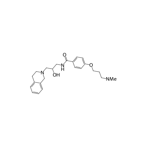 CNCCCOc1ccc(C(=O)NCC(O)CN2CCc3ccccc3C2)cc1